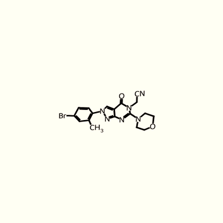 Cc1cc(Br)ccc1-n1cc2c(=O)n(CC#N)c(N3CCOCC3)nc2n1